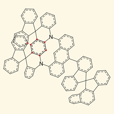 c1ccc2c(c1)-c1ccccc1C21c2ccccc2N(c2cccc3c(-c4cccc5c4-c4ccccc4C54c5ccccc5-c5ccc6ccccc6c54)c4cccc(N5c6ccccc6C6(c7ccccc7-c7ccccc76)c6ccccc65)c4cc23)c2ccccc21